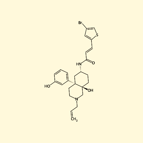 C=CCN1CC[C@@]2(c3cccc(O)c3)C[C@H](NC(=O)C=Cc3cc(Br)cs3)CC[C@]2(O)C1